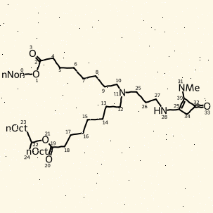 CCCCCCCCCOC(=O)CCCCCCCN(CCCCCCCC(=O)OC(CCCCCCCC)CCCCCCCC)CCCNC1=C(NC)C(=O)C1